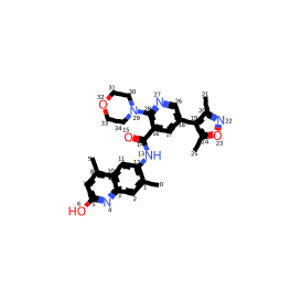 Cc1cc2nc(O)cc(C)c2cc1NC(=O)c1cc(-c2c(C)noc2C)cnc1N1CCOCC1